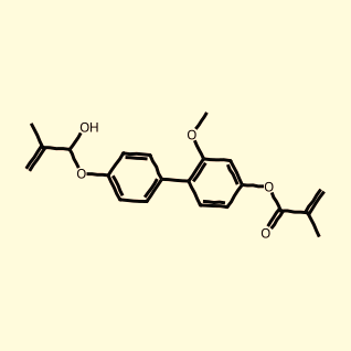 C=C(C)C(=O)Oc1ccc(-c2ccc(OC(O)C(=C)C)cc2)c(OC)c1